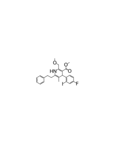 COCC1=C(C(=O)OC)C(c2ccc(F)cc2I)C(C)=C(CCc2ccccc2)N1